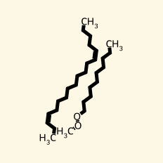 CC/C=C\CCCCCCCC/C=C\CCCC.CCCCCCCCCCOOC